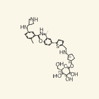 Cc1ccc(NC2CNC2)cc1C(=O)N[C@H](C)c1cccc(-c2ccc(CN[C@H]3CC[C@@H](O[C@@H]4O[C@H](CO)[C@@H](O)[C@H](O)[C@H]4O)C3)s2)c1